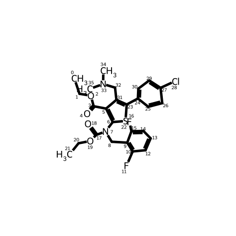 CCOC(=O)c1c(N(Cc2c(F)cccc2F)C(=O)OCC)sc(-c2ccc(Cl)cc2)c1CN(C)C